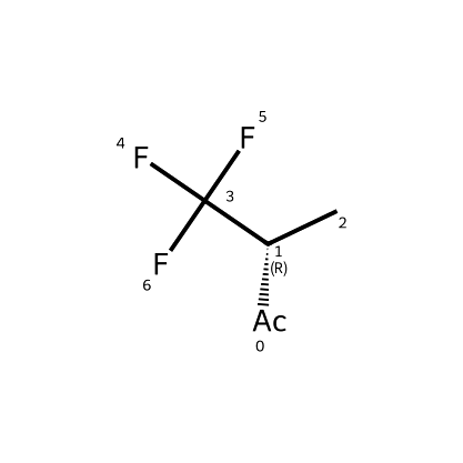 CC(=O)[C@@H](C)C(F)(F)F